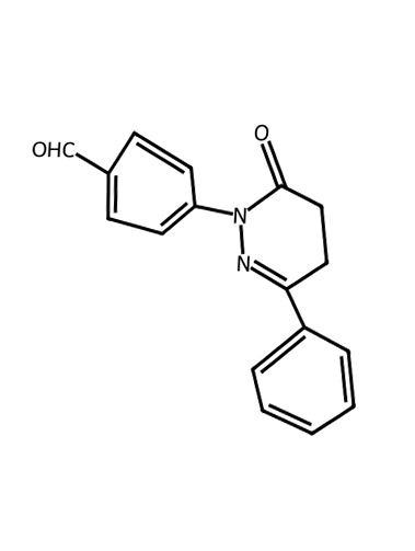 O=Cc1ccc(N2N=C(c3ccccc3)CCC2=O)cc1